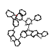 c1ccc(-c2nc(-c3ccccc3)nc(-n3c4ccc(-c5cccc6oc7ccc(-c8ccc9c(c8)c8ccccc8n9-c8ccccc8)cc7c56)cc4c4cc5oc6ccccc6c5cc43)n2)cc1